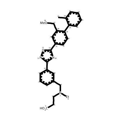 CCN(CCC(=O)O)Cc1cccc(-c2noc(-c3ccc(-c4ccccc4C)c(COC)c3)n2)c1